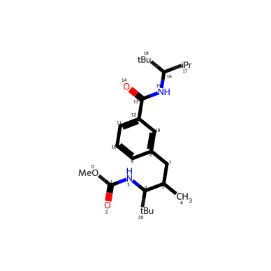 COC(=O)NC(C(C)Cc1cccc(C(=O)NC(C(C)C)C(C)(C)C)c1)C(C)(C)C